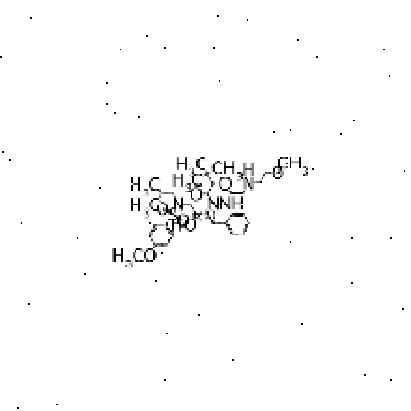 COCCNCC(=O)NN(C(=O)CC(C)(C)C)[C@@H](Cc1ccccc1)[C@H](O)CN(CC(C)C)S(=O)(=O)c1ccc(OC)cc1